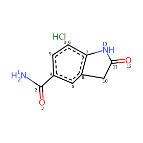 Cl.NC(=O)c1ccc2c(c1)CC(=O)N2